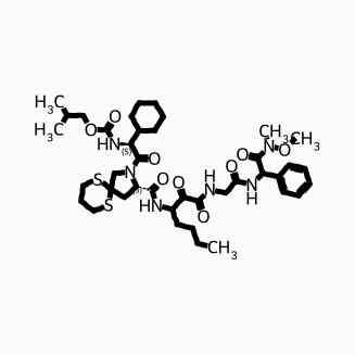 CCCCC(NC(=O)[C@@H]1CC2(CN1C(=O)[C@@H](NC(=O)OCC(C)C)C1CCCCC1)SCCCS2)C(=O)C(=O)NCC(=O)NC(C(=O)N(C)OC)c1ccccc1